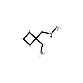 CC(C)(C)NCC1(CN=O)CCC1